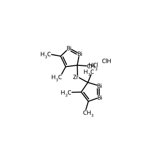 C[C]1=C(C)[C](C)([Zr][C]2(C)[Bi]=[Bi][C](C)=C2C)[Bi]=[Bi]1.Cl.Cl